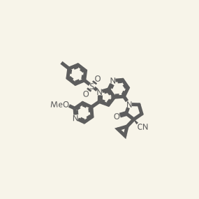 COc1cc(-c2cc3c(N4CC[C@](C#N)(C5CC5)C4=O)ccnc3n2S(=O)(=O)c2ccc(C)cc2)ccn1